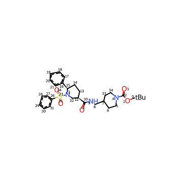 CC(C)(C)OC(=O)N1CCC(CNC(=O)[C@@H]2CC[C@H](c3ccccc3)N(S(=O)(=O)c3ccccc3)C2)CC1